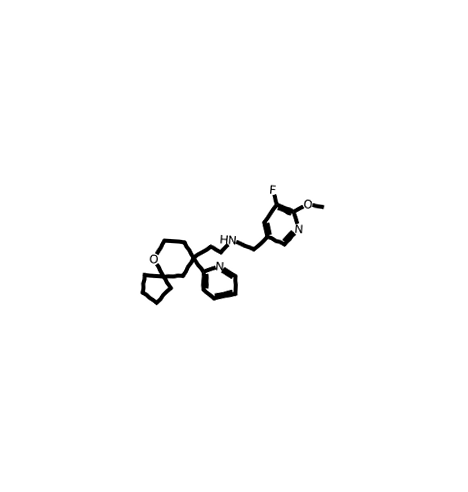 COc1ncc(CNCCC2(c3ccccn3)CCOC3(CCCC3)C2)cc1F